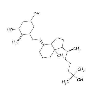 C=C1C(O)CC(O)CC1C/C=C1\CCC[C@@]2(C)C1CCC2[C@@H](C)CCCC(C)(C)O